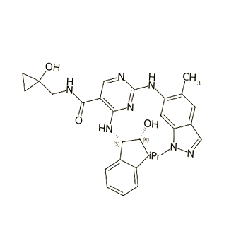 Cc1cc2cnn(C(C)C)c2cc1Nc1ncc(C(=O)NCC2(O)CC2)c(N[C@H]2c3ccccc3C[C@H]2O)n1